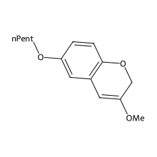 CCCCCOc1ccc2c(c1)C=C(OC)CO2